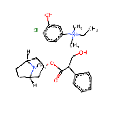 CC[N+](C)(C)c1cccc(O)c1.CN1[C@@H]2CC[C@H]1C[C@@H](OC(=O)C(CO)c1ccccc1)C2.[Cl-]